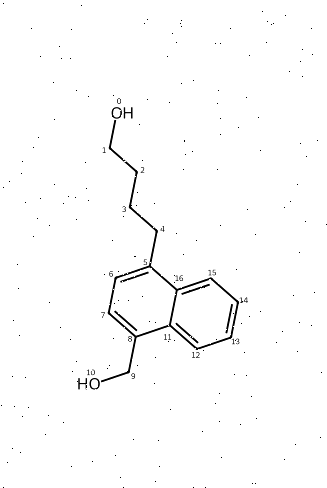 OCCCCc1ccc(CO)c2ccccc12